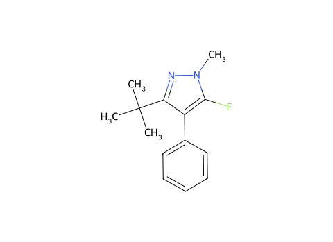 Cn1nc(C(C)(C)C)c(-c2ccccc2)c1F